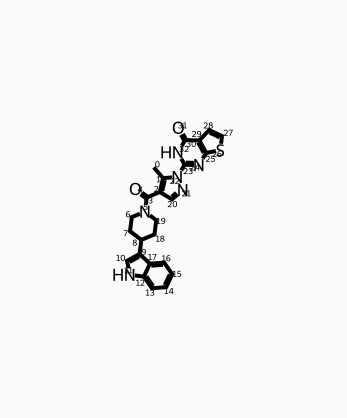 Cc1c(C(=O)N2CCC(c3c[nH]c4ccccc34)CC2)cnn1-c1nc2sccc2c(=O)[nH]1